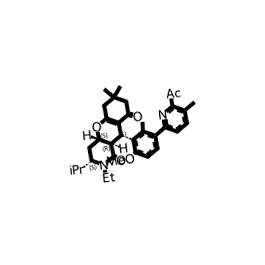 CCN1C(=O)[C@H]2[C@H](C[C@H]1C(C)C)OC1=C(C(=O)CC(C)(C)C1)[C@@H]2c1c(OC)ccc(-c2ccc(C)c(C(C)=O)n2)c1C